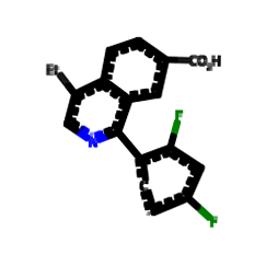 CCc1cnc(-c2ccc(F)cc2F)c2cc(C(=O)O)ccc12